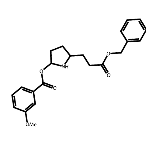 COc1cccc(C(=O)OC2CCC(CCC(=O)OCc3ccccc3)N2)c1